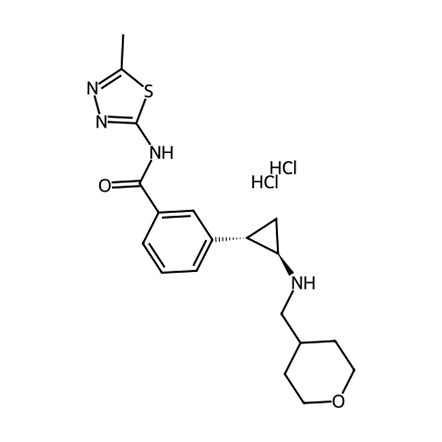 Cc1nnc(NC(=O)c2cccc([C@@H]3C[C@H]3NCC3CCOCC3)c2)s1.Cl.Cl